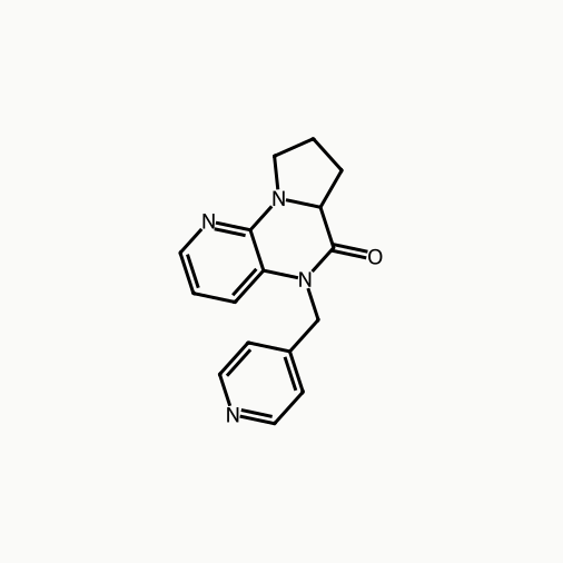 O=C1C2CCCN2c2ncccc2N1Cc1ccncc1